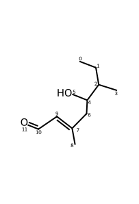 CCC(C)C(O)CC(C)=CC=O